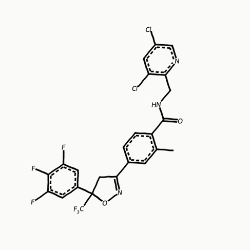 Cc1cc(C2=NOC(c3cc(F)c(F)c(F)c3)(C(F)(F)F)C2)ccc1C(=O)NCc1ncc(Cl)cc1Cl